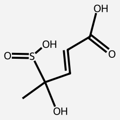 CC(O)(C=CC(=O)O)S(=O)O